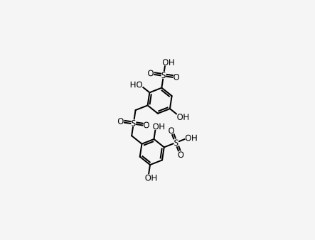 O=S(=O)(Cc1cc(O)cc(S(=O)(=O)O)c1O)Cc1cc(O)cc(S(=O)(=O)O)c1O